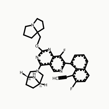 C#Cc1c(F)ccc2cccc(-c3ncc4c(N5C[C@H]6CC[C@@H](C5)N6)nc(OCC56CCCN5CCC6)nc4c3F)c12